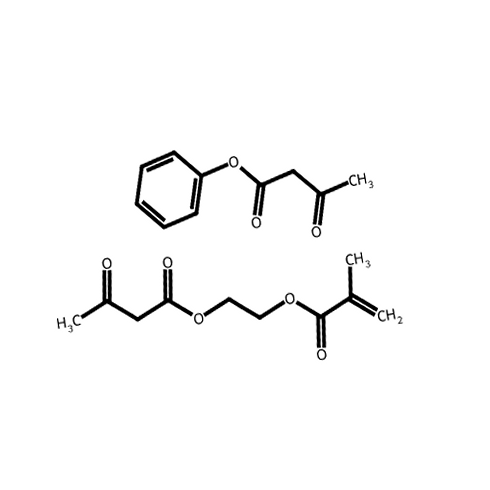 C=C(C)C(=O)OCCOC(=O)CC(C)=O.CC(=O)CC(=O)Oc1ccccc1